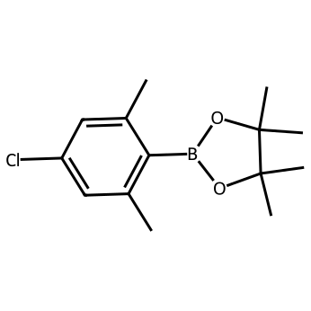 Cc1cc(Cl)cc(C)c1B1OC(C)(C)C(C)(C)O1